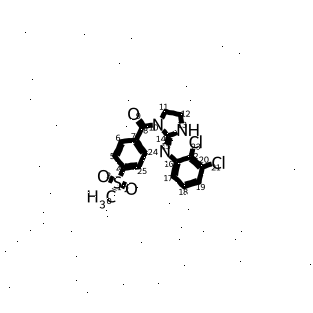 CS(=O)(=O)c1ccc(C(=O)N2CCNC2=Nc2cccc(Cl)c2Cl)cc1